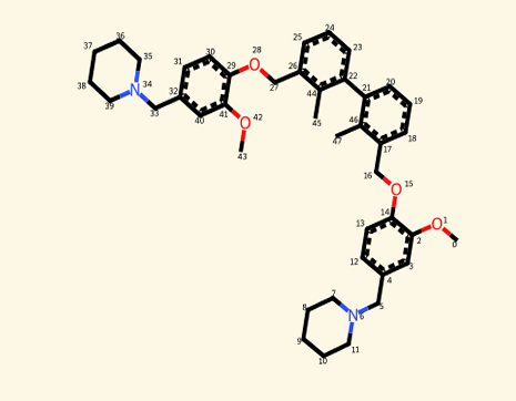 COc1cc(CN2CCCCC2)ccc1OCc1cccc(-c2cccc(COc3ccc(CN4CCCCC4)cc3OC)c2C)c1C